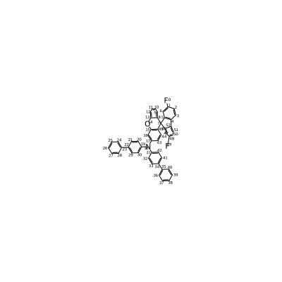 Fc1ccc2c(c1)C1(c3ccccc3Oc3cc(N(c4ccc(-c5ccccc5)cc4)c4ccc(-c5ccccc5)cc4)ccc31)c1cc(F)ccc1-2